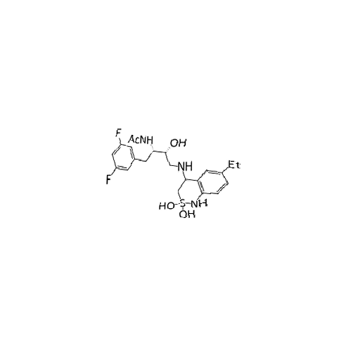 CCc1ccc2c(c1)C(NC[C@@H](O)[C@H](Cc1cc(F)cc(F)c1)NC(C)=O)CS(O)(O)N2